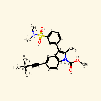 Cc1c(-c2cccc(S(=O)(=O)N(C)C)c2)c2cc(C#C[Si](C)(C)C)ccc2n1C(=O)OC(C)(C)C